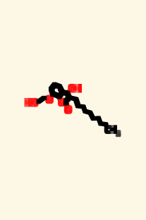 CCCCCCCCC=Cc1c(O)c2cccc(OCCO)c2oc1=O